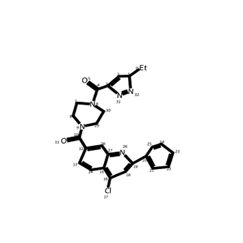 CCC1C=C(C(=O)N2CCN(C(=O)c3ccc4c(Cl)cc(-c5ccccc5)nc4c3)CC2)N=N1